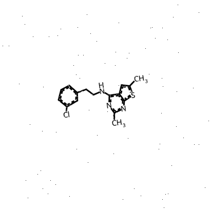 Cc1nc(NCCc2cccc(Cl)c2)c2cc(C)sc2n1